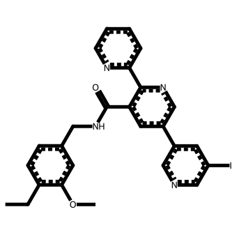 CCc1ccc(CNC(=O)c2cc(-c3cncc(I)c3)cnc2-c2ccccn2)cc1OC